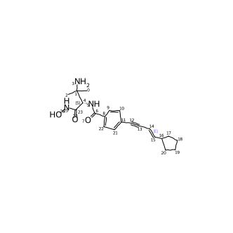 CC(C)(N)[C@H](NC(=O)c1ccc(C#C/C=C/C2CCCC2)cc1)C(=O)NO